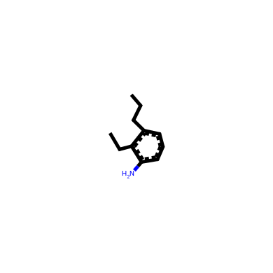 CCCc1cccc(N)c1CC